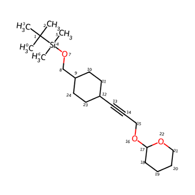 CC(C)(C)[Si](C)(C)OCC1CCC(C#CCOC2CCCCO2)CC1